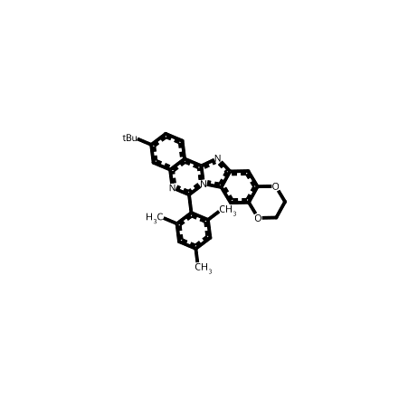 Cc1cc(C)c(-c2nc3cc(C(C)(C)C)ccc3c3nc4cc5c(cc4n23)OCCO5)c(C)c1